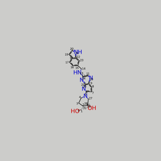 OC[C@@H]1CCN(c2ccc3ncc(NCc4ccc5cc[nH]c5c4)nc3n2)C[C@H]1O